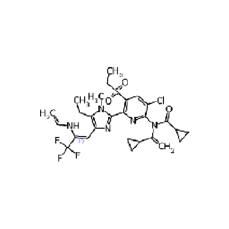 C=CN/C(=C\c1nc(-c2nc(N(C(=C)C3CC3)C(=O)C3CC3)c(Cl)cc2S(=O)(=O)CC)n(C)c1CC)C(F)(F)F